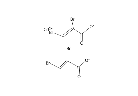 O=C([O-])C(Br)=CBr.O=C([O-])C(Br)=CBr.[Cd+2]